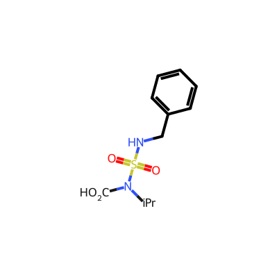 CC(C)N(C(=O)O)S(=O)(=O)NCc1ccccc1